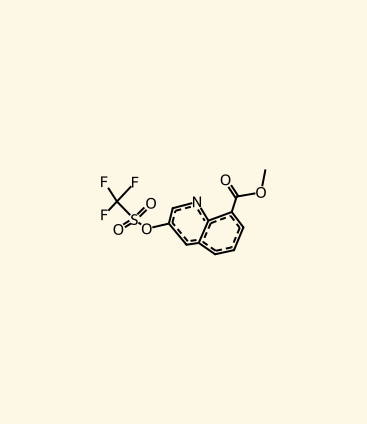 COC(=O)c1cccc2cc(OS(=O)(=O)C(F)(F)F)cnc12